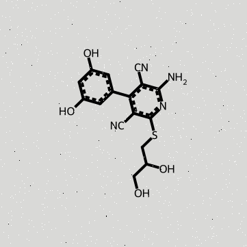 N#Cc1c(N)nc(SCC(O)CO)c(C#N)c1-c1cc(O)cc(O)c1